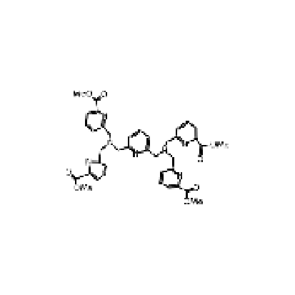 COC(=O)c1cccc(CN(Cc2cccc(CN(Cc3cccc(C(=O)OC)n3)Cc3cccc(C(=O)OC)n3)n2)Cc2cccc(C(=O)OC)n2)n1